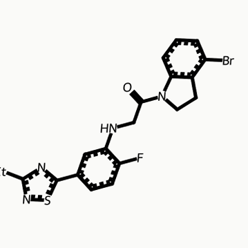 CCc1nsc(-c2ccc(F)c(NCC(=O)N3CCc4c(Br)cccc43)c2)n1